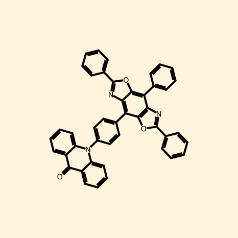 O=c1c2ccccc2n(-c2ccc(-c3c4nc(-c5ccccc5)oc4c(-c4ccccc4)c4nc(-c5ccccc5)oc34)cc2)c2ccccc12